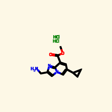 COC(=O)c1cc(C2CC2)cn2cc(CN)nc12.Cl.Cl